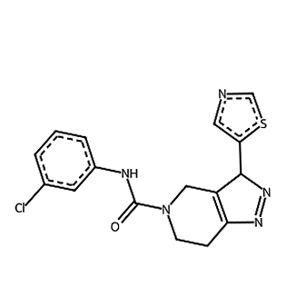 O=C(Nc1cccc(Cl)c1)N1CCC2=C(C1)C(c1cncs1)N=N2